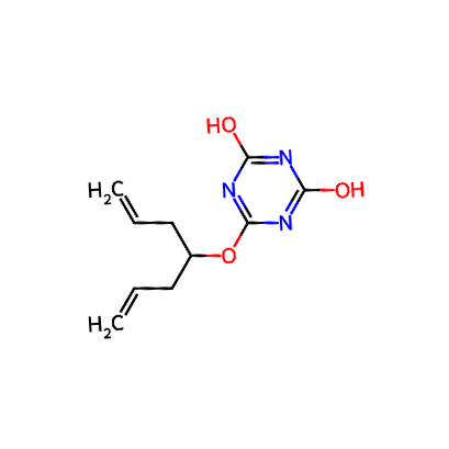 C=CCC(CC=C)Oc1nc(O)nc(O)n1